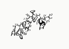 O=C1C(=Cc2n[nH]c3ccccc23)Oc2c1ccc(OCc1ccccc1)c2CN1CCN(C(=O)O)CC1